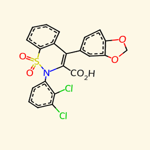 O=C(O)C1=C(c2ccc3c(c2)OCO3)c2ccccc2S(=O)(=O)N1c1cccc(Cl)c1Cl